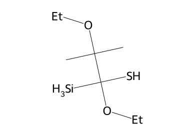 CCOC(C)(C)C([SiH3])(S)OCC